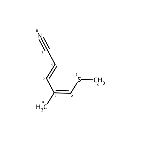 CS/C=C(C)\C=C\C#N